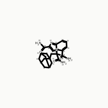 CC(CC12CC3CC(CC(C3)C1)C2)(C(N)=O)[N+]12C=C(C(N)=O)N=C1C=CC=C2C(N)=O